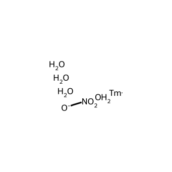 O.O.O.O.O=[N+]([O-])[O-].[Tm]